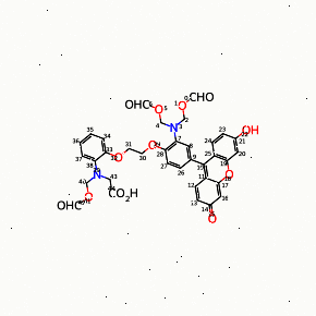 O=COCN(COC=O)c1cc(-c2c3ccc(=O)cc-3oc3cc(O)ccc23)ccc1OCCOc1ccccc1N(COC=O)CC(=O)O